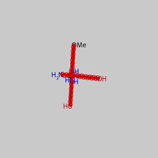 COCCOCCOCCOCCOCCOCCOCCOCCOCCOCCOCCOCCNC(=O)CCOCC(COCCC(=O)NCCOCCOCCOCCOCCOCCOCCOCCOCCOCCOCCOCCO)(COCCC(=O)NCCOCCOCCOCCOCCOCCOCCOCCOCCOCCOCCOCCO)NC(=O)CCOCCOCCOCCOCCN